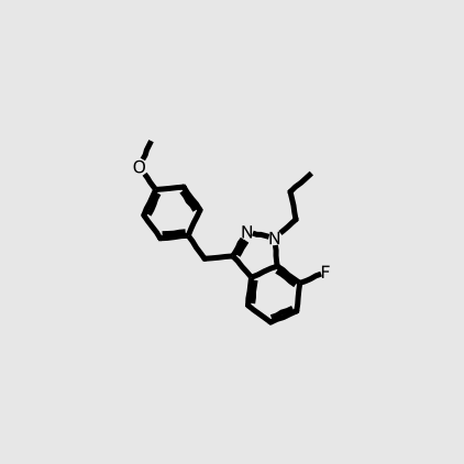 CCCn1nc(Cc2ccc(OC)cc2)c2cccc(F)c21